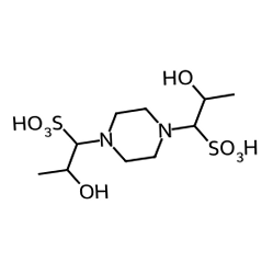 CC(O)C(N1CCN(C(C(C)O)S(=O)(=O)O)CC1)S(=O)(=O)O